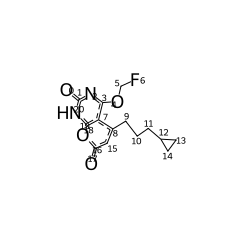 O=c1nc(OCF)c2c(CCCC3CC3)cc(=O)oc2[nH]1